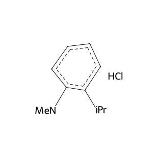 CNc1ccccc1C(C)C.Cl